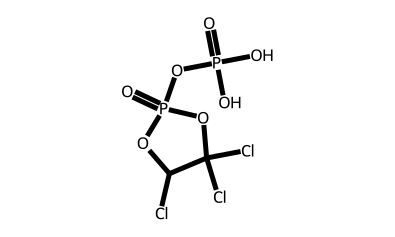 O=P(O)(O)OP1(=O)OC(Cl)C(Cl)(Cl)O1